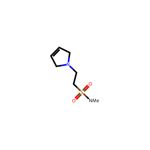 CNS(=O)(=O)CCN1CC=CC1